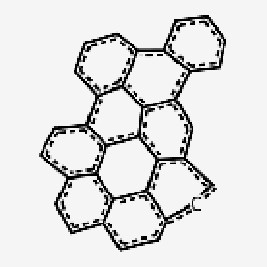 c1ccc2c(c1)c1cccc3c4ccc5ccc6ccc7ccc8cc2c(c13)c1c8c7c6c5c41